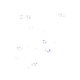 CNC(=O)c1ccc(OC)cc1Oc1nc(Nc2cc(OC)c(OC)c(OC)c2)ncc1Br